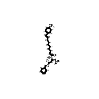 CN(C)C[C@@H](CC(=O)OCc1ccccc1)NC(=O)CCCCCCCC=Cc1ccc(C(F)(F)F)cc1